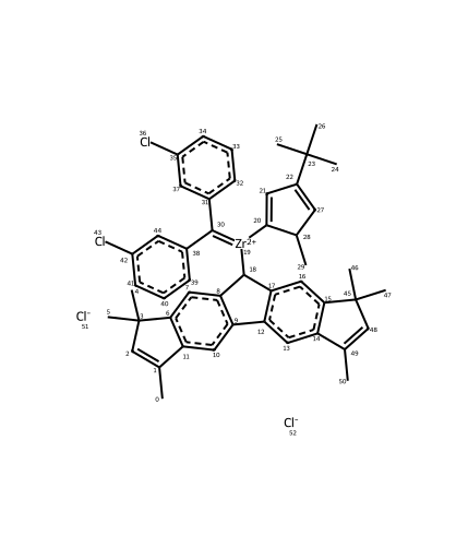 CC1=CC(C)(C)c2cc3c(cc21)-c1cc2c(cc1[CH]3[Zr+2]([C]1=CC(C(C)(C)C)=CC1C)=[C](c1cccc(Cl)c1)c1cccc(Cl)c1)C(C)(C)C=C2C.[Cl-].[Cl-]